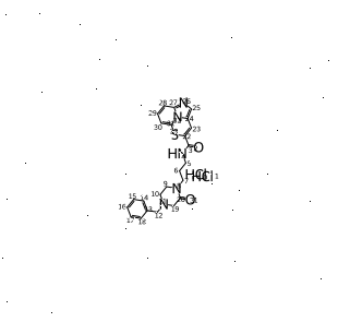 Cl.Cl.O=C(NCCCN1CCN(Cc2ccccc2)CC1=O)C1=Cc2cnc3cccc(n23)S1